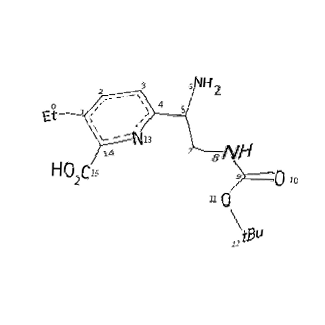 CCc1ccc(C(N)CNC(=O)OC(C)(C)C)nc1C(=O)O